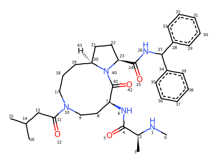 CN[C@@H](C)C(=O)N[C@H]1CCN(C(=O)CC(C)C)CCC[C@H]2CC[C@@H](C(=O)NC(c3ccccc3)c3ccccc3)N2C1=O